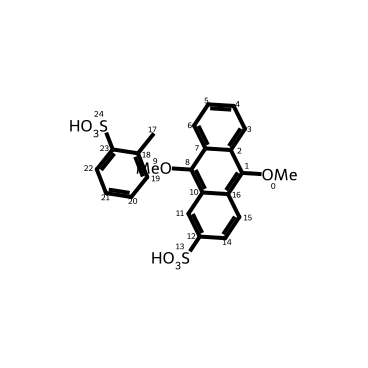 COc1c2ccccc2c(OC)c2cc(S(=O)(=O)O)ccc12.Cc1ccccc1S(=O)(=O)O